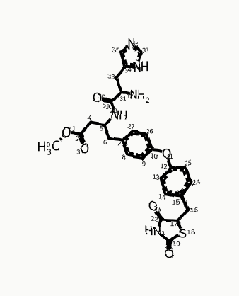 COC(=O)CC(Cc1ccc(Oc2ccc(CC3SC(=O)NC3=O)cc2)cc1)NC(=O)C(N)Cc1cnc[nH]1